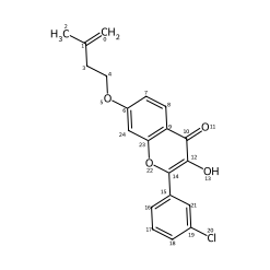 C=C(C)CCOc1ccc2c(=O)c(O)c(-c3cccc(Cl)c3)oc2c1